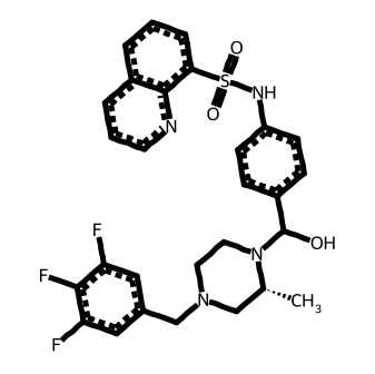 C[C@@H]1CN(Cc2cc(F)c(F)c(F)c2)CCN1C(O)c1ccc(NS(=O)(=O)c2cccc3cccnc23)cc1